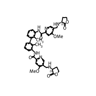 COc1cc(C(=O)Nc2cccc(-c3cccc(NC(=O)c4cc(OC)c(CN[C@H]5CCOC5=O)cn4)c3C)c2C)ncc1CN[C@H]1CCOC1=O